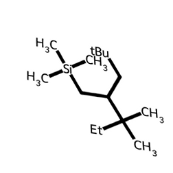 CCC(C)(C)C(CC(C)(C)C)C[Si](C)(C)C